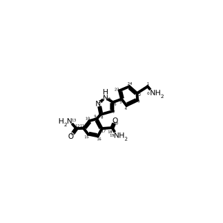 NCc1ccc(-c2cc(-c3cc(C(N)=O)ccc3C(N)=O)n[nH]2)cc1